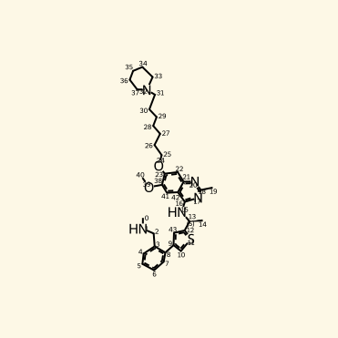 CNCc1ccccc1-c1csc([C@H](C)Nc2nc(C)nc3cc(OCCCCCCCN4CCCCC4)c(OC)cc23)c1